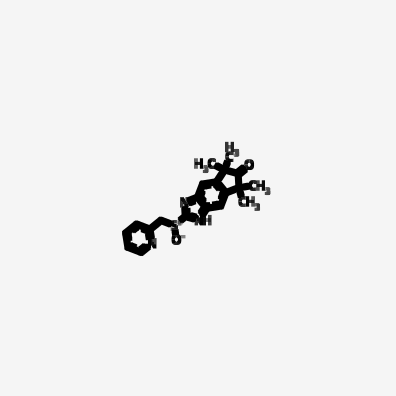 CC1(C)C(=O)C(C)(C)c2cc3[nH]c([S+]([O-])Cc4ccccn4)nc3cc21